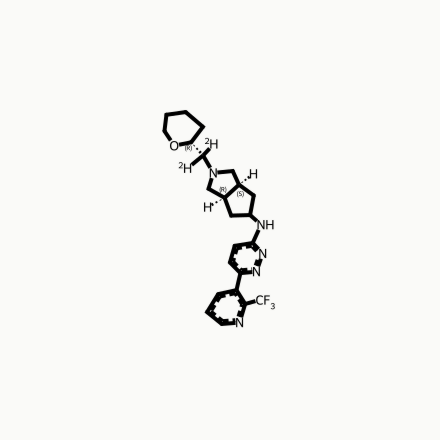 [2H]C([2H])([C@H]1CCCCO1)N1C[C@H]2CC(Nc3ccc(-c4cccnc4C(F)(F)F)nn3)C[C@H]2C1